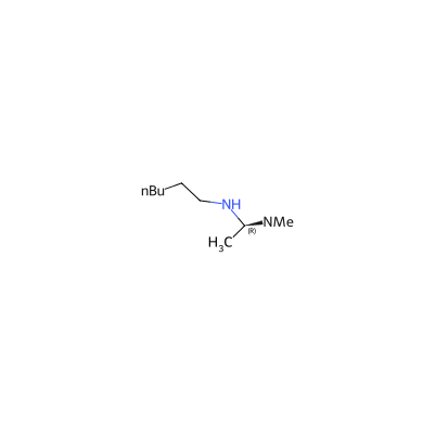 CCCCCCN[C@H](C)NC